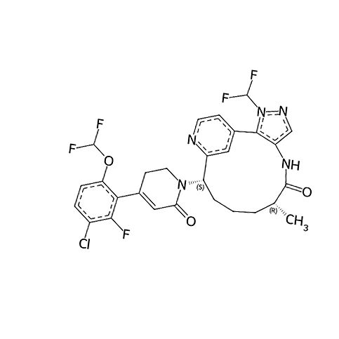 C[C@@H]1CCC[C@H](N2CCC(c3c(OC(F)F)ccc(Cl)c3F)=CC2=O)c2cc(ccn2)-c2c(cnn2C(F)F)NC1=O